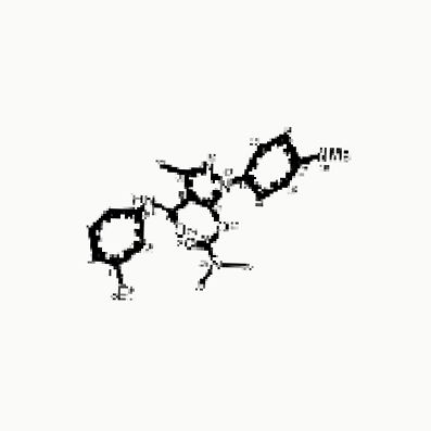 CCc1cccc(NC(=O)c2c(C)nn(-c3ccc(NC)cc3)c2OC(=O)N(C)C)c1